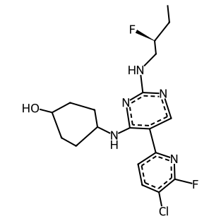 CC[C@H](F)CNc1ncc(-c2ccc(Cl)c(F)n2)c(NC2CCC(O)CC2)n1